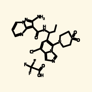 CCC(NC(=O)c1c(N)nn2cccnc12)c1cc(Cl)c2cncn2c1N1CCS(=O)(=O)CC1.O=C(O)C(F)(F)F